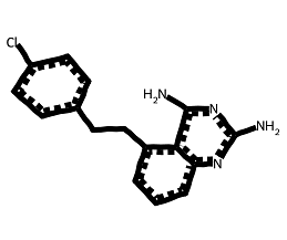 Nc1nc(N)c2c(CCc3ccc(Cl)cc3)cccc2n1